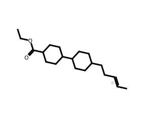 C/C=C/CCC1CCC(C2CCC(C(=O)OCC)CC2)CC1